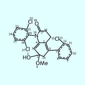 COC1(O)C=C2C(=C(c3ccccc3Cl)C1)CCC(=O)N2c1c(Cl)cccc1Cl